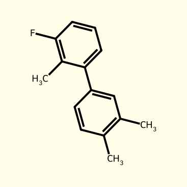 Cc1ccc(-c2cccc(F)c2C)cc1C